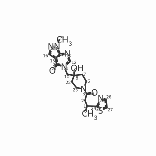 CC(CC(=O)N1CCC(O)(Cn2cnc3c(cnn3C)c2=O)CC1)c1nccs1